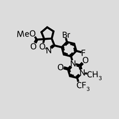 COC(=O)C12CCCC1C(c1cc(-n3c(=O)cc(C(F)(F)F)n(C)c3=O)c(F)cc1Br)=NO2